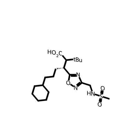 CC(C)(C)C(C(=O)O)[C@@H](CCCC1CCCCC1)c1nc(CNS(C)(=O)=O)no1